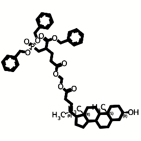 C[C@H](CCC(=O)OCOC(=O)CCC(CP(=O)(OCc1ccccc1)OCc1ccccc1)C(=O)OCc1ccccc1)C1CCC2C3CCC4C[C@H](O)CC[C@]4(C)C3CC[C@@]21C